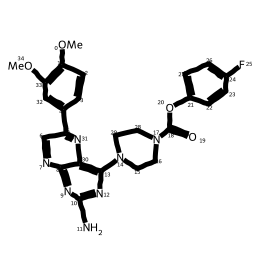 COc1ccc(-c2cnc3nc(N)nc(N4CCN(C(=O)Oc5ccc(F)cc5)CC4)c3n2)cc1OC